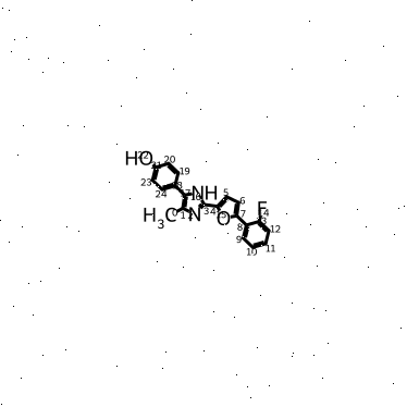 Cc1nc(-c2ccc(-c3ccccc3F)o2)[nH]c1-c1ccc(O)cc1